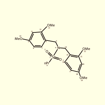 CCCS(=O)(=O)N(Cc1ccc(OC)cc1OC)Cc1ccc(OC)cc1OC